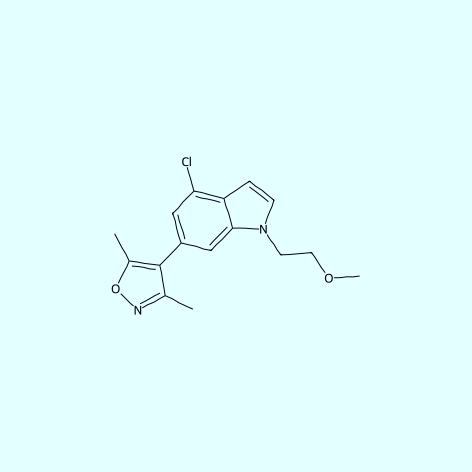 COCCn1ccc2c(Cl)cc(-c3c(C)noc3C)cc21